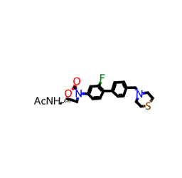 CC(=O)NC[C@H]1CN(c2ccc(-c3ccc(CN4CCSCC4)cc3)c(F)c2)C(=O)O1